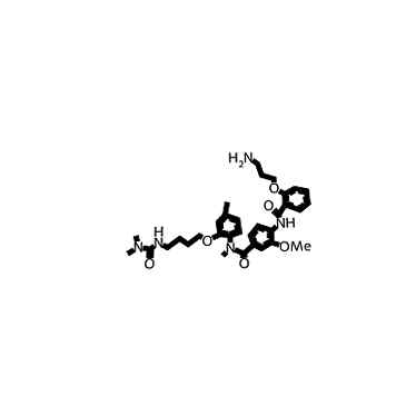 COc1cc(C(=O)N(C)c2ccc(C)cc2OCCCCNC(=O)N(C)C)ccc1NC(=O)c1ccccc1OCCCN